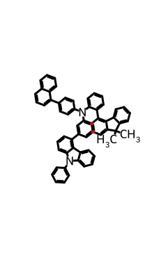 CC1(C)c2ccccc2-c2c(-c3ccccc3N(c3ccc(-c4cccc5ccccc45)cc3)c3cccc(-c4cccc5c4c4ccccc4n5-c4ccccc4)c3)cccc21